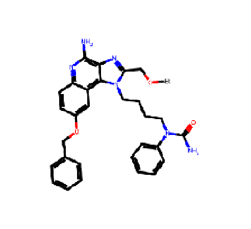 CCOCc1nc2c(N)nc3ccc(OCc4ccccc4)cc3c2n1CCCCN(C(N)=O)c1ccccc1